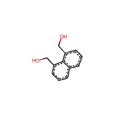 OCc1cccc2cccc(CO)c12